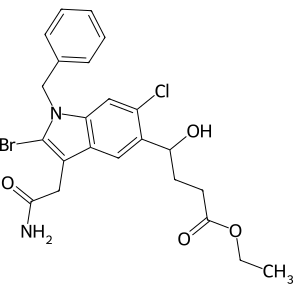 CCOC(=O)CCC(O)c1cc2c(CC(N)=O)c(Br)n(Cc3ccccc3)c2cc1Cl